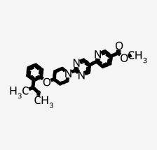 CCC(C)c1ccccc1OC1CCN(c2ncc(-c3ccc(C(=O)OC)cn3)cn2)CC1